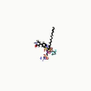 CCCCCCCCCCCCCCC(C(=O)NCCS(N)(=O)=O)(c1nc2ccc(-c3ccn(C)c(=O)c3)cc2s1)S(=O)(=O)CCC(F)(F)F